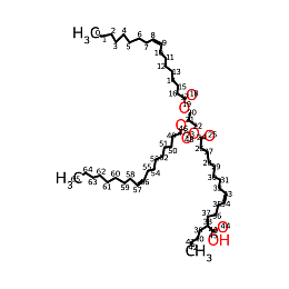 CCCCCCCC/C=C\CCCCCCCC(=O)OCC(COC(=O)CCCCCCC/C=C\CCCC(CCCC)C(=O)O)OC(=O)CCCCCCC/C=C\CCCCCCCC